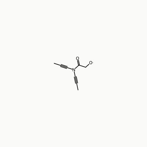 CC#CN(C#CC)C(=O)C[O]